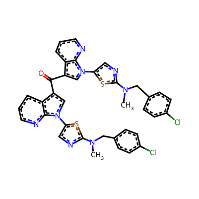 CN(Cc1ccc(Cl)cc1)c1ncc(-n2cc(C(=O)c3cn(-c4cnc(N(C)Cc5ccc(Cl)cc5)s4)c4ncccc34)c3cccnc32)s1